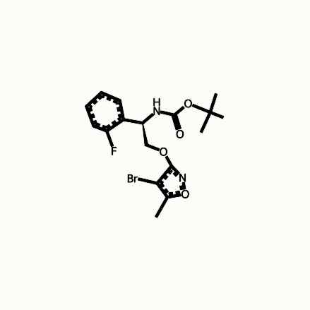 Cc1onc(OC[C@H](NC(=O)OC(C)(C)C)c2ccccc2F)c1Br